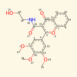 COc1cc(-c2oc3ccccc3c(=O)c2C(=O)NCCO)cc(OC)c1OC